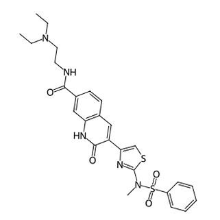 CCN(CC)CCNC(=O)c1ccc2cc(-c3csc(N(C)S(=O)(=O)c4ccccc4)n3)c(=O)[nH]c2c1